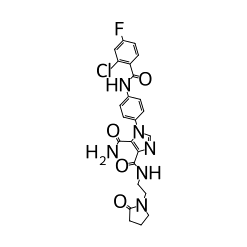 NC(=O)c1c(C(=O)NCCN2CCCC2=O)ncn1-c1ccc(NC(=O)c2ccc(F)cc2Cl)cc1